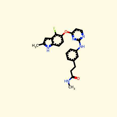 CNC(=O)CCc1cccc(Nc2nccc(Oc3ccc4[nH]c(C)cc4c3F)n2)c1